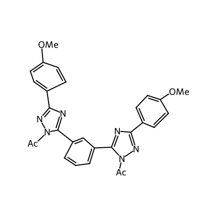 COc1ccc(-c2nc(-c3cccc(-c4nc(-c5ccc(OC)cc5)nn4C(C)=O)c3)n(C(C)=O)n2)cc1